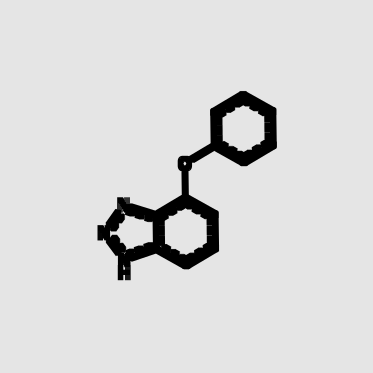 c1ccc(Oc2cccc3[nH]nnc23)cc1